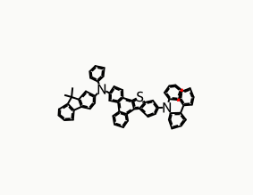 CC1(C)c2ccccc2-c2ccc(N(c3ccccc3)c3ccc4c(c3)c3ccccc3c3c5ccc(N(c6ccccc6)c6ccccc6-c6ccccc6)cc5sc43)cc21